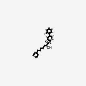 OC(CCCCCc1ccncc1)c1nc2ncc(-c3ccccc3F)cc2o1